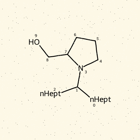 CCCCCCCC(CCCCCCC)N1CCCC1CO